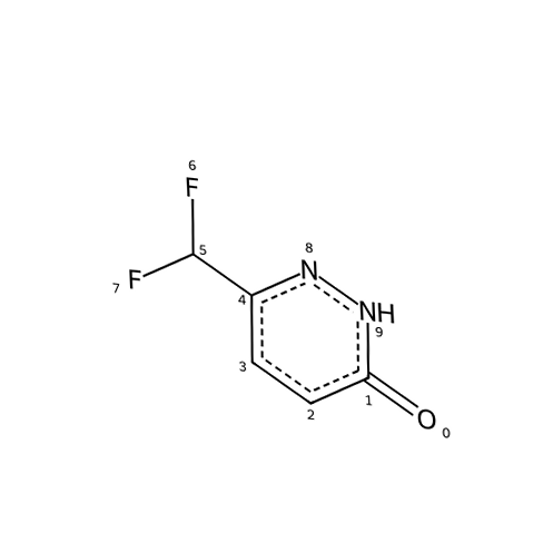 O=c1ccc(C(F)F)n[nH]1